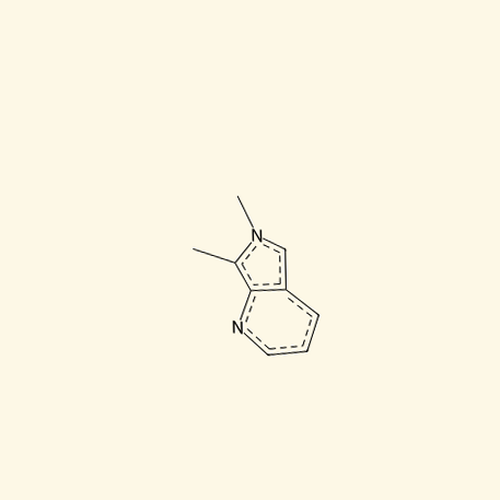 Cc1c2ncccc2cn1C